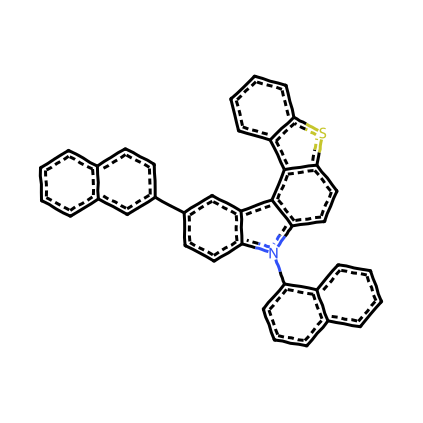 c1ccc2cc(-c3ccc4c(c3)c3c5c(ccc3n4-c3cccc4ccccc34)sc3ccccc35)ccc2c1